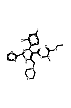 CCOC(=O)[C@@H](C)OC(=O)C1=C(CN2CCOCC2)NC(c2nccs2)=NC1c1ccc(F)cc1Cl